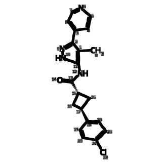 Cc1c(-c2ccncc2)n[nH]c1NC(=O)[C@H]1C[C@H](c2ccc(Cl)cc2)C1